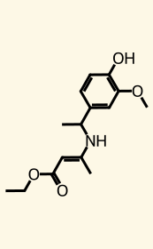 CCOC(=O)C=C(C)NC(C)c1ccc(O)c(OC)c1